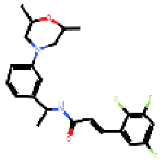 CC1CN(c2cccc(C(C)NC(=O)C=Cc3cc(F)cc(F)c3F)c2)CC(C)O1